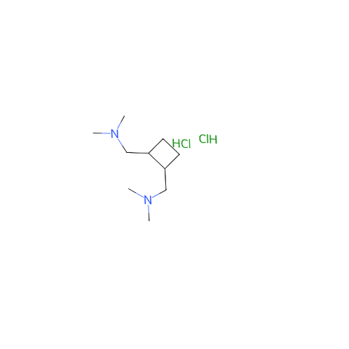 CN(C)CC1CCC1CN(C)C.Cl.Cl